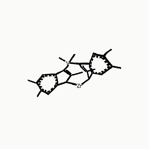 CC1=C2c3cc(C)c(C)cc3[CH]1[Zr][CH]1C(C)=C(c3cc(C)c(C)cc31)[Si]2(C)C